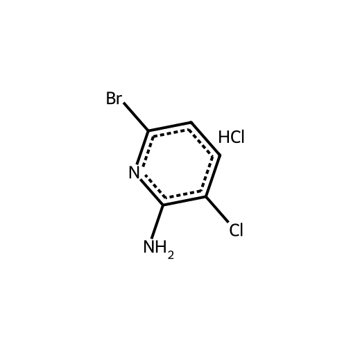 Cl.Nc1nc(Br)ccc1Cl